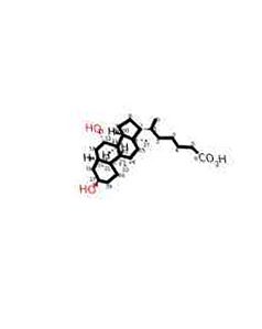 CC(CCCCC(=O)O)[C@H]1CC[C@H]2[C@@H]3[C@@H](O)C[C@@H]4C[C@H](O)CC[C@]4(C)[C@H]3CC[C@]12C